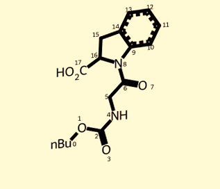 CCCCOC(=O)NCC(=O)N1c2ccccc2CC1C(=O)O